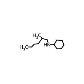 CCCCC(C)CNC1CCCCC1